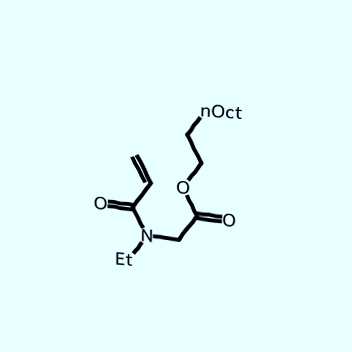 C=CC(=O)N(CC)CC(=O)OCCCCCCCCCC